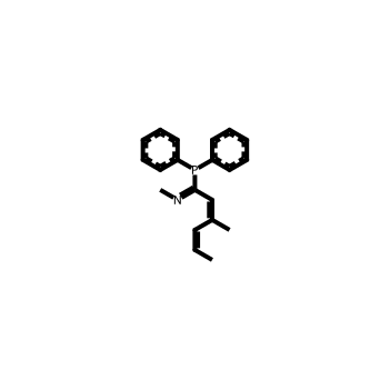 C\C=C/C(C)=C\C(=N\C)P(c1ccccc1)c1ccccc1